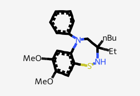 CCCCC1(CC)CN(c2ccccc2)c2cc(OC)c(OC)cc2SN1